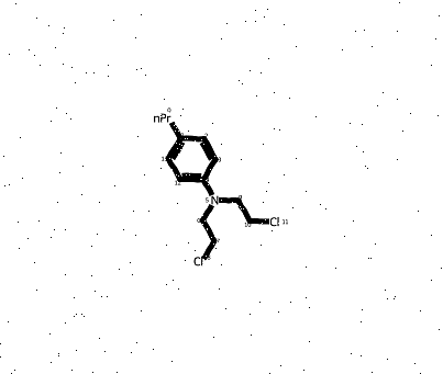 [CH2]CCc1ccc(N(CCCl)CCCl)cc1